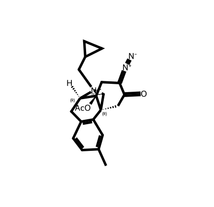 CC(=O)O[C@@]12CC(=[N+]=[N-])C(=O)C[C@@]13CCN(CC1CC1)[C@@H]2Cc1ccc(C)cc13